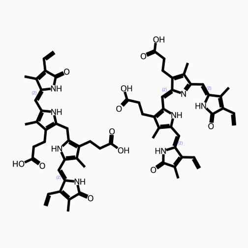 C=CC1=C(C)/C(=C/C2=NC(=C\c3[nH]c(/C=C4\NC(=O)C(C)=C4C=C)c(C)c3CCC(=O)O)/C(CCC(=O)O)=C2C)NC1=O.C=CC1=C(C)/C(=C/c2[nH]c(Cc3[nH]c(/C=C4\NC(=O)C(C)=C4C=C)c(C)c3CCC(=O)O)c(CCC(=O)O)c2C)NC1=O